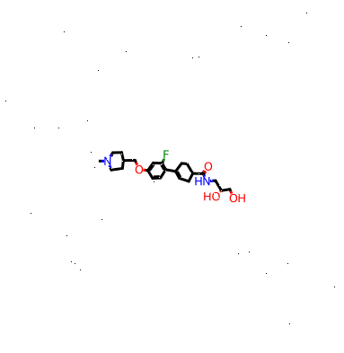 CN1CCC(COc2ccc(C3=CCC(C(=O)NCC(O)CO)CC3)c(F)c2)CC1